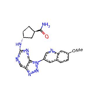 COc1ccc2cc(-n3nnc4cnc(N[C@@H]5CC[C@@H](C(N)=O)C5)nc43)cnc2c1